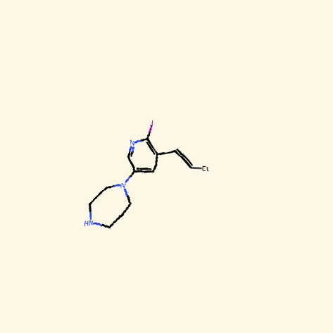 CCC=Cc1cc(N2CCCNCC2)cnc1I